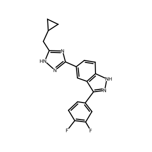 Fc1ccc(-c2n[nH]c3ccc(-c4n[nH]c(CC5CC5)n4)cc23)cc1F